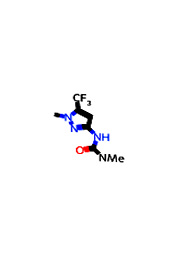 CNC(=O)Nc1cc(C(F)(F)F)n(C)n1